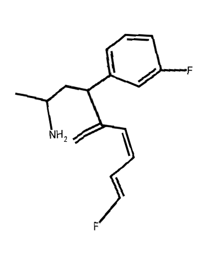 C=C(/C=C\C=C\F)C(CC(C)N)c1cccc(F)c1